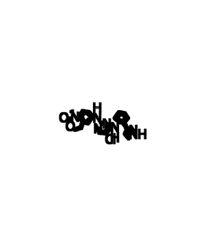 CN1C(=O)OCCc2cc(Nc3ncc(Cl)c(Nc4ccccc4-c4cc[nH]n4)n3)ccc21